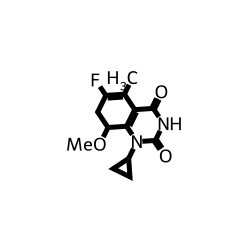 COC1CC(F)=C(C)c2c1n(C1CC1)c(=O)[nH]c2=O